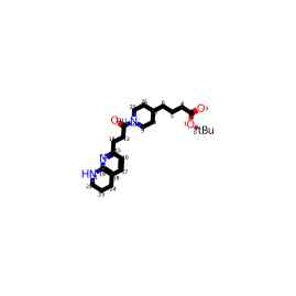 CC(C)(C)OC(=O)CCCC1CCN(C(=O)CCc2ccc3c(n2)NCCC3)CC1